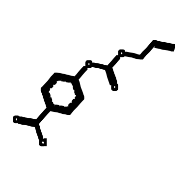 C=CCOC(=O)Oc1ccc(C(=O)Cl)cc1